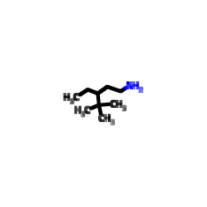 CCC(CCN)C(C)(C)C